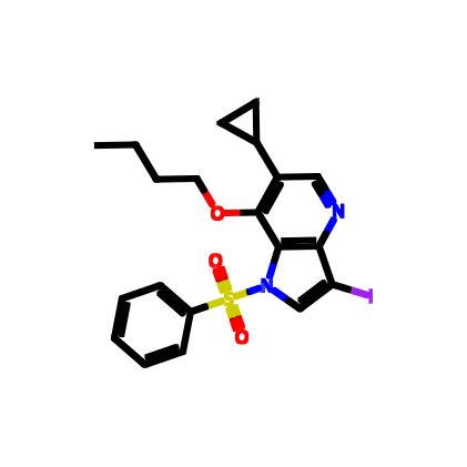 CCCCOc1c(C2CC2)cnc2c(I)cn(S(=O)(=O)c3ccccc3)c12